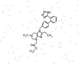 CCc1nc2c(n1Cc1ccc(-c3ccccc3-c3nnn[nH]3)cc1)CN(C)CN2CC(=O)OC